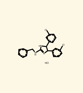 Cl.Clc1cccc(C2N=C(NCc3ccccc3)NC2c2cccc(Cl)c2)c1